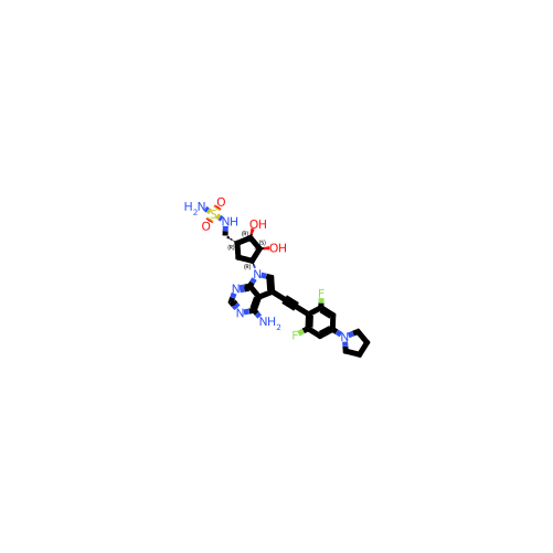 Nc1ncnc2c1c(C#Cc1c(F)cc(N3CCCC3)cc1F)cn2[C@@H]1C[C@H](CNS(N)(=O)=O)[C@@H](O)[C@H]1O